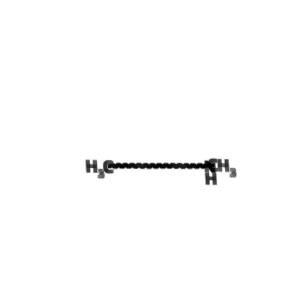 CCCCCCCCCCCCCCCCCCCCCCCCCCCCCCNC